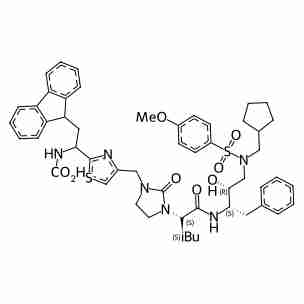 CC[C@H](C)[C@@H](C(=O)N[C@@H](Cc1ccccc1)[C@H](O)CN(CC1CCCC1)S(=O)(=O)c1ccc(OC)cc1)N1CCN(Cc2csc(C(CC3c4ccccc4-c4ccccc43)NC(=O)O)n2)C1=O